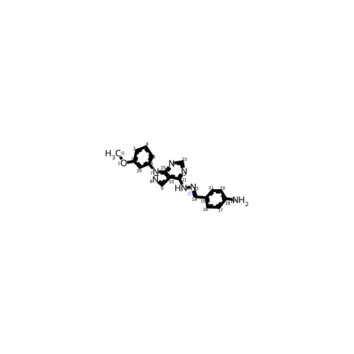 COc1cccc(-n2ncc3c(N/N=C/c4ccc(N)cc4)ncnc32)c1